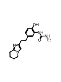 CCNC(=O)Nc1cc(CCc2cn3c(n2)CCCC3)ccc1O